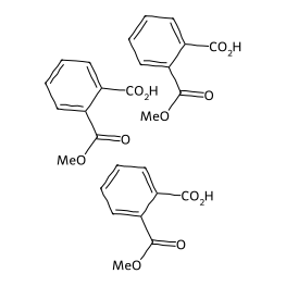 COC(=O)c1ccccc1C(=O)O.COC(=O)c1ccccc1C(=O)O.COC(=O)c1ccccc1C(=O)O